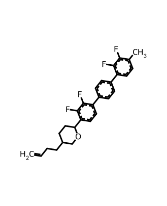 C=CCCC1CCC(c2ccc(-c3ccc(-c4ccc(C)c(F)c4F)cc3)c(F)c2F)OC1